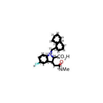 CNC(=O)CC1c2cc(F)ccc2N(Cc2cccc3ccccc23)C1C(=O)O